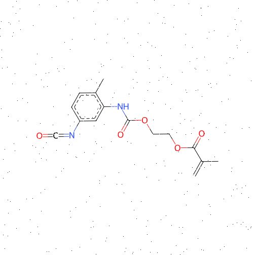 C=C(C)C(=O)OCCOC(=O)Nc1cc(N=C=O)ccc1C